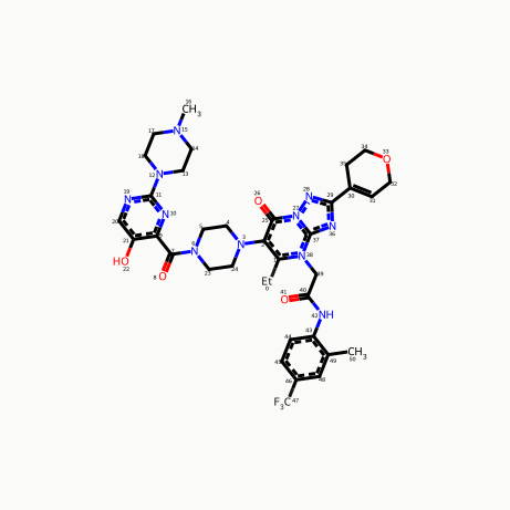 CCc1c(N2CCN(C(=O)c3nc(N4CCN(C)CC4)ncc3O)CC2)c(=O)n2nc(C3=CCOCC3)nc2n1CC(=O)Nc1ccc(C(F)(F)F)cc1C